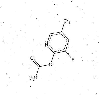 NC(=O)Oc1ncc(C(F)(F)F)cc1F